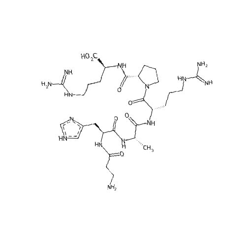 C[C@H](NC(=O)[C@H](Cc1c[nH]cn1)NC(=O)CCN)C(=O)N[C@@H](CCCNC(=N)N)C(=O)N1CCC[C@H]1C(=O)N[C@@H](CCCNC(=N)N)C(=O)O